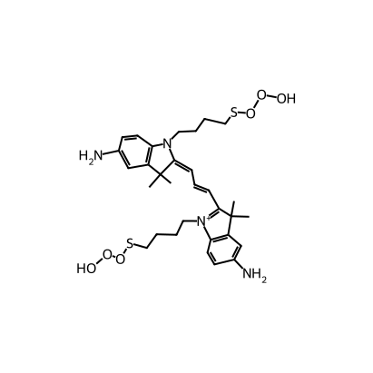 CC1(C)C(/C=C/C=C2/N(CCCCSOOO)c3ccc(N)cc3C2(C)C)=[N+](CCCCSOOO)c2ccc(N)cc21